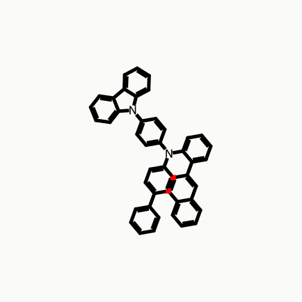 c1ccc(-c2ccc(N(c3ccc(-n4c5ccccc5c5ccccc54)cc3)c3ccccc3-c3ccc4ccccc4c3)cc2)cc1